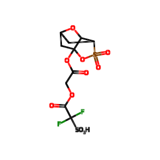 O=C(COC(=O)C(F)(F)S(=O)(=O)O)OC12CC3CC(C1O3)S(=O)(=O)O2